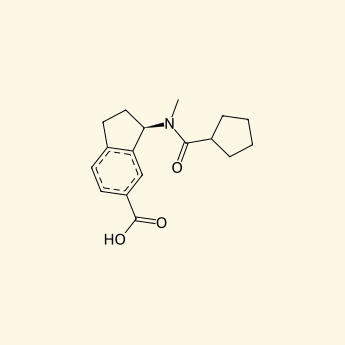 CN(C(=O)C1CCCC1)[C@@H]1CCc2ccc(C(=O)O)cc21